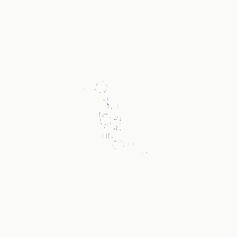 OCCOc1cccc(Nc2ncnc3c(N/N=C/c4cccc(Cl)c4)ncnc23)c1